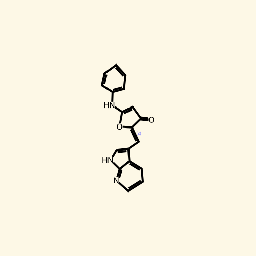 O=C1C=C(Nc2ccccc2)O/C1=C\c1c[nH]c2ncccc12